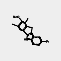 COc1c(C)cc2c(c1C)Cc1c-2[nH]c2ccc(C(C)C)cc12